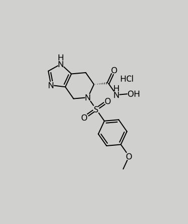 COc1ccc(S(=O)(=O)N2Cc3nc[nH]c3C[C@@H]2C(=O)NO)cc1.Cl